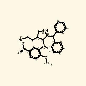 COc1ccc([N+](=O)[O-])cc1N(C)C1C(CCO)CNC1C(c1ccccc1)c1ccccc1